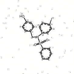 O=S(=O)(c1ccccc1)N(Cc1ccc(O)cc1)c1ccc(I)cc1